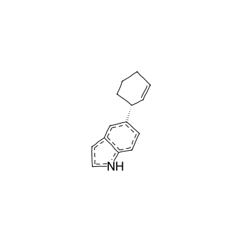 C1=C[C@H](c2ccc3[nH]ccc3c2)CCC1